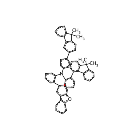 CC1(C)c2ccccc2-c2cc(-c3ccc(N(c4ccccc4-c4ccc5oc6ccccc6c5c4)c4ccccc4-c4cccc5c4-c4ccccc4C5(C)C)cc3)ccc21